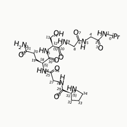 CC(C)NC(=O)CNC(=O)CNC(=O)[C@H](CO)NC(=O)[C@H](CCC(N)=O)NC(=O)CNC(=O)[C@@H]1CCCN1